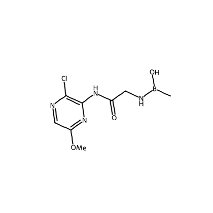 COc1cnc(Cl)c(NC(=O)CNB(C)O)n1